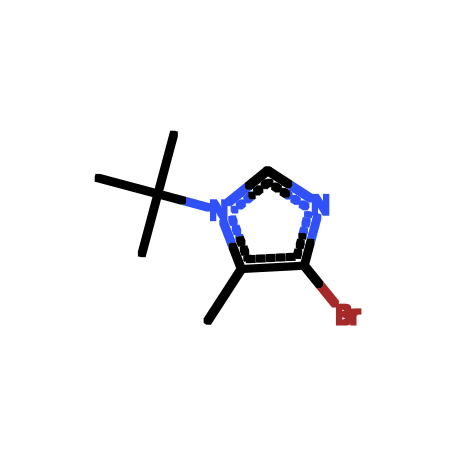 Cc1c(Br)ncn1C(C)(C)C